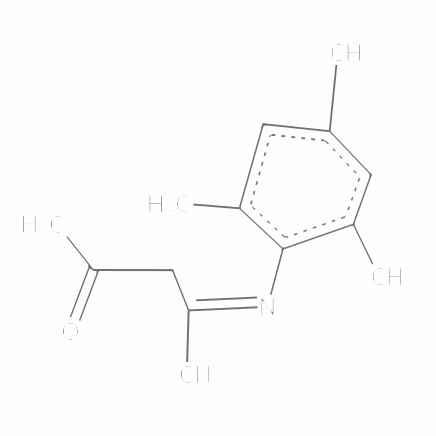 CC(=O)CC(C)=Nc1c(C)cc(C)cc1C